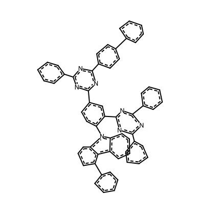 c1ccc(-c2ccc(-c3nc(-c4ccccc4)nc(-c4ccc(-n5c6ccccc6c6c(-c7ccccc7)cccc65)c(-c5nc(-c6ccccc6)nc(-c6ccccc6)n5)c4)n3)cc2)cc1